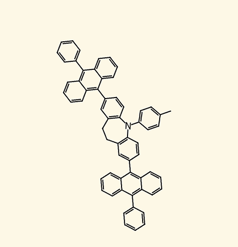 Cc1ccc(N2c3ccc(-c4c5ccccc5c(-c5ccccc5)c5ccccc45)cc3CCc3cc(-c4c5ccccc5c(-c5ccccc5)c5ccccc45)ccc32)cc1